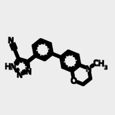 CN1CCOc2cc(-c3cccc(-c4nn[nH]c4C#N)c3)ccc21